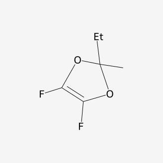 CCC1(C)OC(F)=C(F)O1